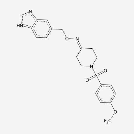 O=S(=O)(c1ccc(OC(F)(F)F)cc1)N1CCC(=NOCc2ccc3[nH]cnc3c2)CC1